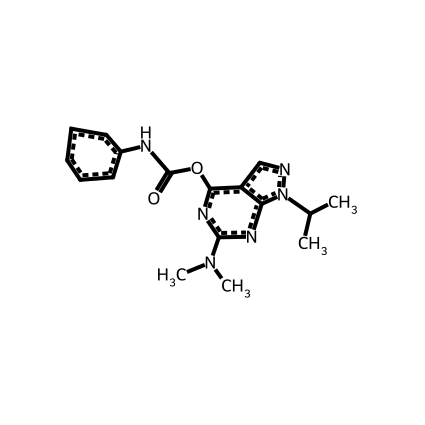 CC(C)n1ncc2c(OC(=O)Nc3ccccc3)nc(N(C)C)nc21